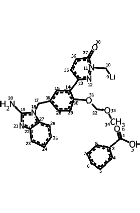 O=C(O)c1ccccc1.[Li][CH2]n1nc(-c2cc(Cn3c(N)nc4ccccc43)ccc2OCOC)ccc1=O